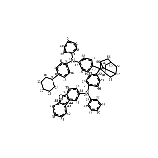 c1ccc(N(c2ccc(C3CCCCC3)cc2)c2ccc(C3(c4ccc(N(c5ccccc5)c5ccc6oc7ccccc7c6c5)cc4)C4CC5CC(C4)CC3C5)cc2)cc1